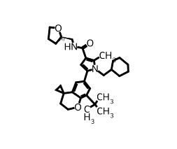 Cc1c(C(=O)NC[C@H]2CCCO2)cc(-c2cc(C(C)(C)C)c3c(c2)C2(CCO3)CC2)n1CC1CCCCC1